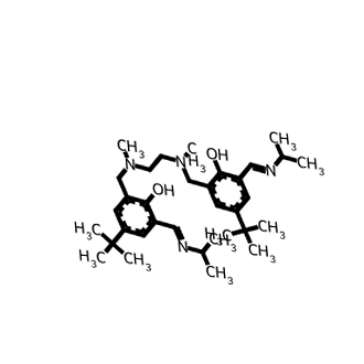 CC(C)/N=C/c1cc(C(C)(C)C)cc(CN(C)CCN(C)Cc2cc(C(C)(C)C)cc(/C=N/C(C)C)c2O)c1O